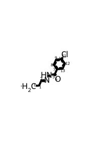 [CH2]C/C=N/NC(=O)c1ccc(Cl)cc1